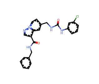 O=C(NCc1ccn2ncc(C(=O)NCc3ccccc3)c2c1)Nc1cccc(Cl)c1